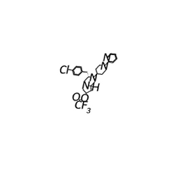 O=C(O[C@@H]1C[C@H]2CN(C3CCN(c4ccccn4)CC3)[C@@H](Cc3ccc(Cl)cc3)CN2C1)C(F)(F)F